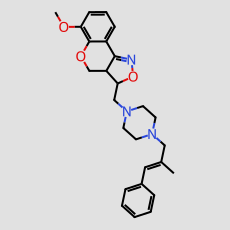 COc1cccc2c1OCC1C2=NOC1CN1CCN(CC(C)=Cc2ccccc2)CC1